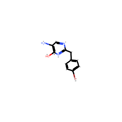 Nc1cnc(Cc2ccc(Br)cc2)nc1O